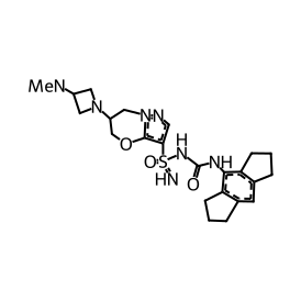 CNC1CN(C2COc3c(S(=N)(=O)NC(=O)Nc4c5c(cc6c4CCC6)CCC5)cnn3C2)C1